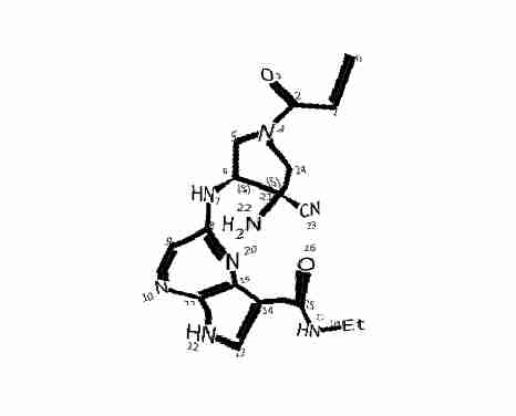 C=CC(=O)N1C[C@H](Nc2cnc3[nH]cc(C(=O)NCC)c3n2)[C@](N)(C#N)C1